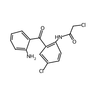 Nc1ccccc1C(=O)c1cc(Cl)ccc1NC(=O)CCl